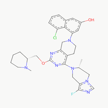 C[C@@H]1Cn2cnc(F)c2CN1c1nc(OC[C@H]2CCCCN2C)nc2c1CCN(c1cc(O)cc3cccc(Cl)c13)C2